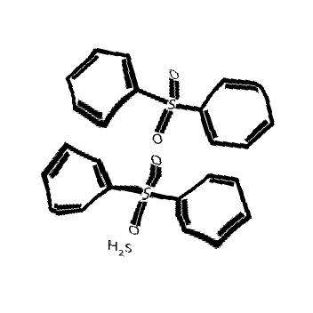 O=S(=O)(c1ccccc1)c1ccccc1.O=S(=O)(c1ccccc1)c1ccccc1.S